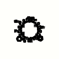 CC(C)C[C@H]1C(=O)NC(C(=O)N2CCCCC2)CC(=O)NC(C)C(=O)N(C)[C@@H](Cc2ccccc2)C(=O)N(C)[C@@H](CC(C)C)C(=O)N[C@@H](C(C)O)C(=O)N(C)[C@@H](CC(C)C)C(=O)N[C@@H](COC(C)(C)C)C(=O)N1C